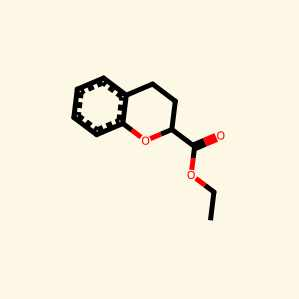 CCOC(=O)C1CCc2ccccc2O1